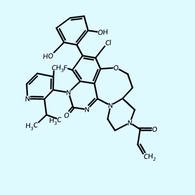 C=CC(=O)N1CCN2c3nc(=O)n(-c4c(C)ccnc4C(C)C)c4c(F)c(-c5c(O)cccc5O)c(Cl)c(c34)OCCC2C1